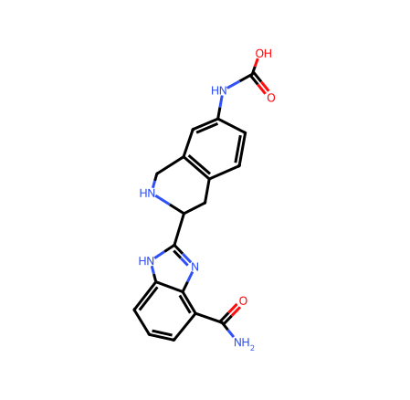 NC(=O)c1cccc2[nH]c(C3Cc4ccc(NC(=O)O)cc4CN3)nc12